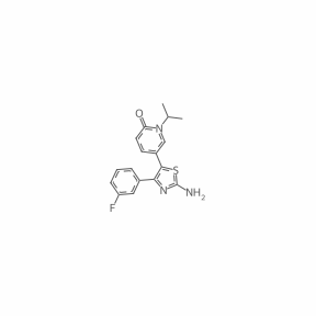 CC(C)n1cc(-c2sc(N)nc2-c2cccc(F)c2)ccc1=O